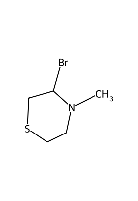 CN1CCSCC1Br